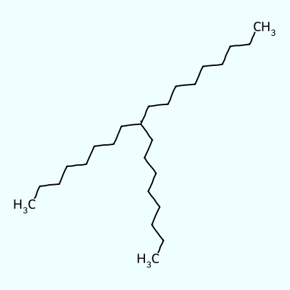 CCCCCCCCC[C](CCCCCCCC)CCCCCCCC